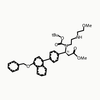 COCCNCCN(C(=O)OC(C)(C)C)[C@@H](CC(=O)OC)c1ccc(-c2ccc(OCc3ccccc3)c3ccccc23)cc1